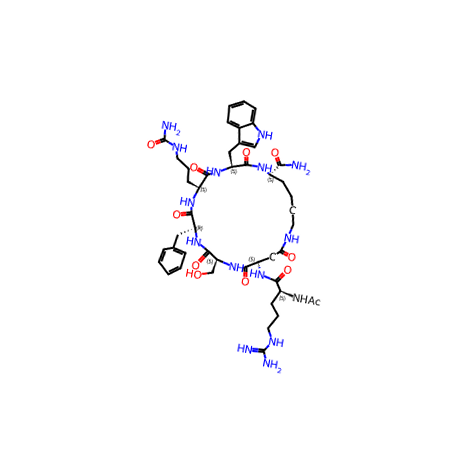 CC(=O)N[C@@H](CCCNC(=N)N)C(=O)N[C@H]1CC(=O)NCCCC[C@@H](C(N)=O)NC(=O)[C@H](Cc2c[nH]c3ccccc23)NC(=O)[C@H](CCCNC(N)=O)NC(=O)[C@@H](Cc2ccccc2)NC(=O)[C@H](CO)NC1=O